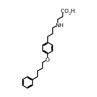 O=C(O)CCNCCCc1ccc(OCCCCc2ccccc2)cc1